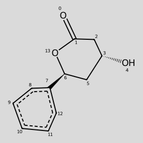 O=C1C[C@H](O)C[C@@H](c2ccccc2)O1